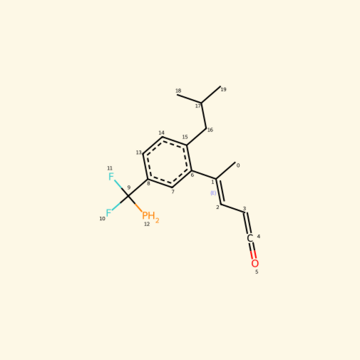 C/C(=C\C=C=O)c1cc(C(F)(F)P)ccc1CC(C)C